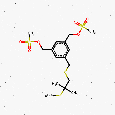 CSSC(C)(C)CSCc1cc(COS(C)(=O)=O)cc(COS(C)(=O)=O)c1